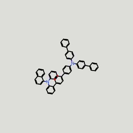 c1ccc(-c2ccc(N(c3ccc(-c4ccccc4)cc3)c3ccc(-c4ccc(-c5ccccc5N(c5ccccc5)c5cccc6ccccc56)cc4)cc3)cc2)cc1